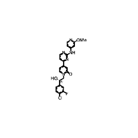 COc1cc(Nc2nccc(-c3ccn(C[C@@H](O)c4ccc(Cl)c(F)c4)c(=O)c3)n2)ccn1